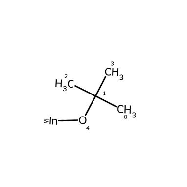 CC(C)(C)[O][In]